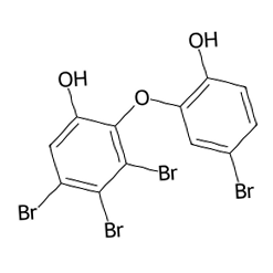 Oc1ccc(Br)cc1Oc1c(O)cc(Br)c(Br)c1Br